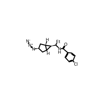 CCC(NC(=O)c1ccc(Cl)cc1)[C@H]1[C@@H]2C[C@@H](N=[N+]=[N-])C[C@@H]21